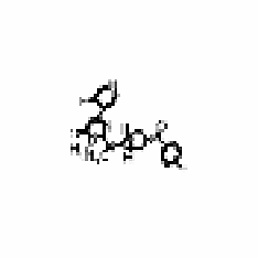 CN(c1nc(-c2ccncc2F)cc(=O)n1C)C1[C@H]2CN(C(=O)c3ccc(F)cc3)C[C@@H]12